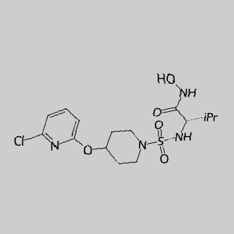 CC(C)C(NS(=O)(=O)N1CCC(Oc2cccc(Cl)n2)CC1)C(=O)NO